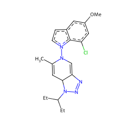 CCC(CC)N1N=NC2=CN(n3ccc4cc(OC)cc(Cl)c43)C(C)=CC21